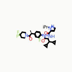 CC(C)n1nccc1C(=O)N[C@H](C(=O)Nc1ccc([C@H](C)C(=O)N2CCC(F)(F)CC2)cc1F)C(C1CC1)C1CC1